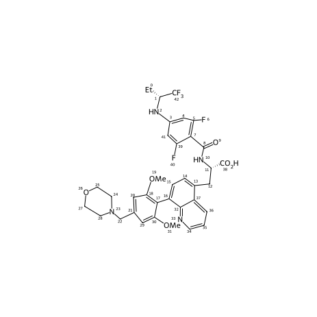 CC[C@@H](Nc1cc(F)c(C(=O)N[C@@H](Cc2ccc(-c3c(OC)cc(CN4CCOCC4)cc3OC)c3ncccc23)C(=O)O)c(F)c1)C(F)(F)F